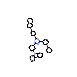 c1ccc(-c2cccc(-c3nc(-c4ccc(-c5ccc6ccccc6c5)cc4)nc(-c4cccc(-n5c6ccccc6c6ccccc65)c4)n3)c2)cc1